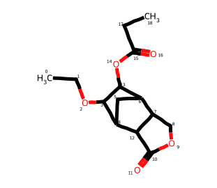 CCOC1C2CC(C3COC(=O)C32)C1OC(=O)CC